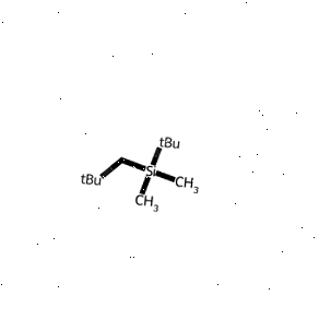 CC(C)(C)C[Si](C)(C)C(C)(C)C